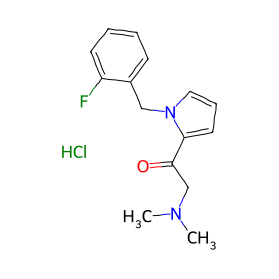 CN(C)CC(=O)c1cccn1Cc1ccccc1F.Cl